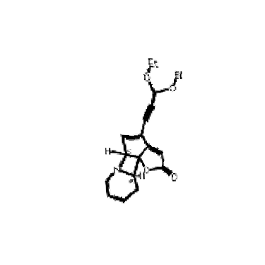 CCOC(C#CC1=C[C@H]2N3CCCC[C@@H]3C23OC(=O)C=C13)OCC